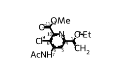 C=C(OCC)c1cc(NC(C)=O)c(Cl)c(C(=O)OC)n1